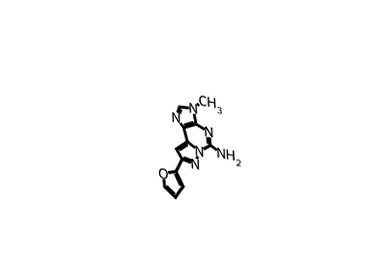 Cn1cnc2c1nc(N)n1nc(-c3ccco3)cc21